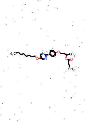 CCCCCCCCOc1cnc(-c2ccc(OCCC(C)OC(=O)CCC)cc2)nc1